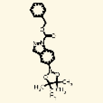 CC1(C)OB(c2ccc3c(cnn3C(=O)OCc3ccccc3)c2)OC1(C)C